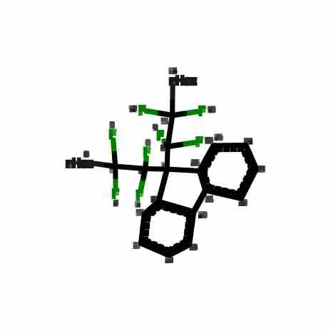 CCCCCCC(F)(F)C(F)(F)C1(C(F)(F)C(F)(F)CCCCCC)c2ccccc2-c2ccccc21